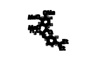 CCN(CC)c1ccc(C=C(C)C(=O)c2ccc(OC)c(OC)c2OC)cc1